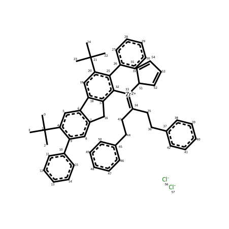 CC(C)(C)c1cc2c(cc1-c1ccccc1)Cc1c-2cc(C(C)(C)C)c(-c2ccccc2)[c]1[Zr+2](=[C](CCc1ccccc1)CCc1ccccc1)[CH]1C=CC=C1.[Cl-].[Cl-]